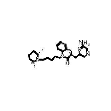 C[C@@H]1CCC[C@H](C)N1CCCCCN1C(=O)C(Cc2cncc(N)n2)Sc2ccccc21